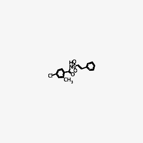 Cc1cc(Cl)ccc1C(=O)NS(=O)(=O)C=Cc1ccccc1